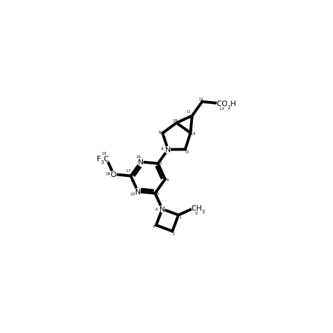 CC1CCN1c1cc(N2CC3C(CC(=O)O)C3C2)nc(OC(F)(F)F)n1